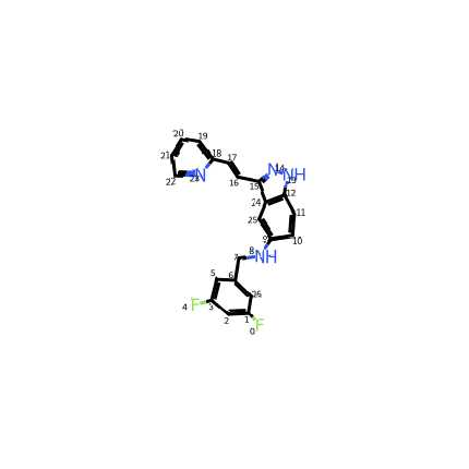 Fc1cc(F)cc(CNc2ccc3[nH]nc(/C=C/c4ccccn4)c3c2)c1